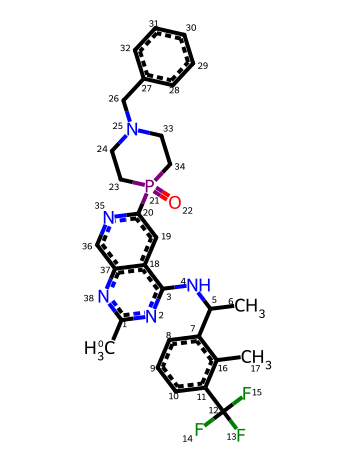 Cc1nc(NC(C)c2cccc(C(F)(F)F)c2C)c2cc(P3(=O)CCN(Cc4ccccc4)CC3)ncc2n1